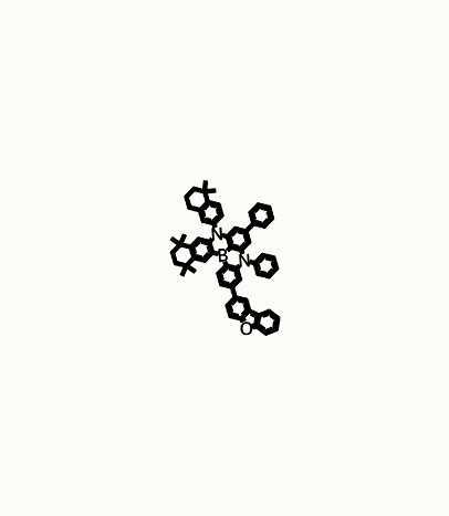 CC1(C)CCCc2cc(N3c4cc5c(cc4B4c6ccc(-c7ccc8oc9ccccc9c8c7)cc6N(c6ccccc6)c6cc(-c7ccccc7)cc3c64)C(C)(C)CCC5(C)C)ccc21